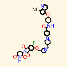 N#Cc1ccc(OC2CCC(NC(=O)c3ccc(N4CCC(CN5CC[C@@H](COc6cc7c(cc6F)C(=O)N(C6CCC(=O)NC6=O)C7=O)C5)CC4)cc3)CC2)c2cccnc12